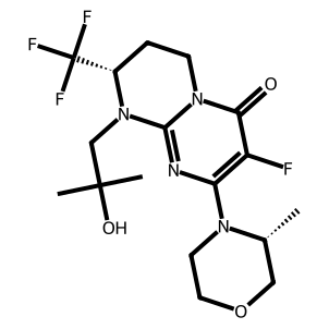 C[C@@H]1COCCN1c1nc2n(c(=O)c1F)CC[C@@H](C(F)(F)F)N2CC(C)(C)O